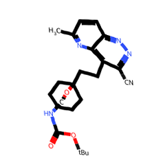 Cc1ccc2nnc(C#N)c(CCC34CCC(NC(=O)OC(C)(C)C)(CC3)CO4)c2n1